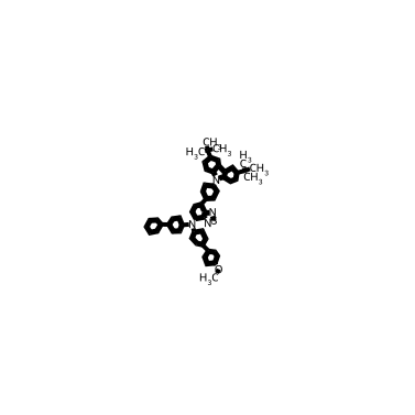 COc1ccc(-c2ccc(N(c3ccc(-c4ccccc4)cc3)c3ccc(-c4ccc(-n5c6ccc(C(C)(C)C)cc6c6cc(C(C)(C)C)ccc65)cc4)c4nsnc34)cc2)cc1